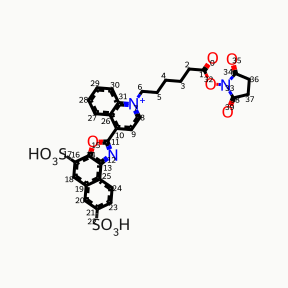 O=C(CCCCC[n+]1ccc(-c2nc3c(o2)c(S(=O)(=O)O)cc2cc(S(=O)(=O)O)ccc23)c2ccccc21)ON1C(=O)CCC1=O